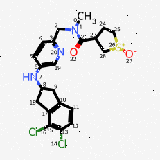 CN(Cc1ccc(NC2Cc3ccc(Cl)c(Cl)c3C2)cn1)C(=O)C1CC[S+]([O-])C1